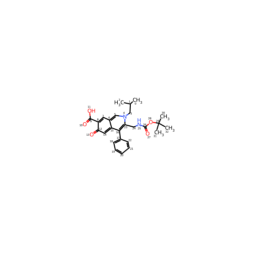 CC(C)Cn1cc2cc(C(=O)O)c(=O)cc-2c(-c2ccccc2)c1CNC(=O)OC(C)(C)C